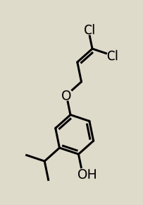 CC(C)c1cc(OCC=C(Cl)Cl)ccc1O